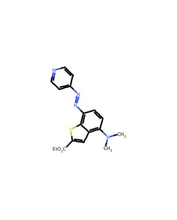 CCOC(=O)c1cc2c(N(C)C)ccc(N=Nc3ccncc3)c2s1